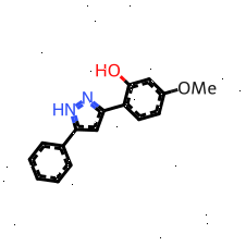 COc1ccc(-c2cc(-c3ccccc3)[nH]n2)c(O)c1